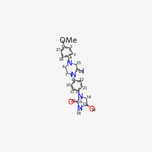 COc1ccc(N2CCN(c3ccc(N4CC(=O)N(C)C4=O)cc3)C(I)C2)cc1